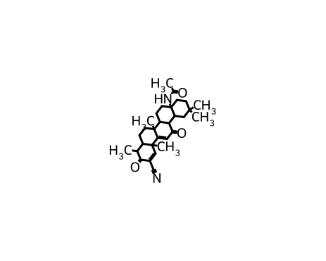 CC(=O)NC12CCC3C(C(=O)C=C4C5(C)C=C(C#N)C(=O)C(C)C5CCC43C)C1CC(C)(C)CC2